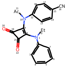 CCN(c1ccccc1)c1c(N(C(C)=O)c2ccc(C#N)cc2)c(=O)c1=O